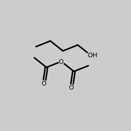 CC(=O)OC(C)=O.CCCCO